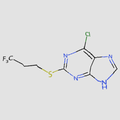 FC(F)(F)CCSc1nc(Cl)c2nc[nH]c2n1